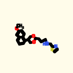 COc1ccc2c(C3COC(CCCNCc4nccs4)OC3)cccc2c1